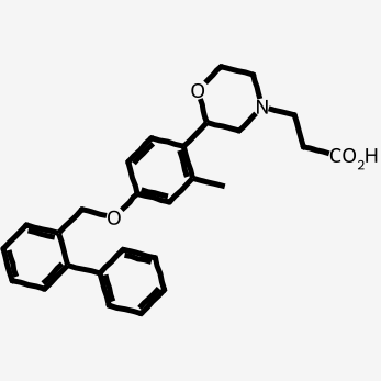 Cc1cc(OCc2ccccc2-c2ccccc2)ccc1C1CN(CCC(=O)O)CCO1